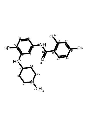 CN1CCC(Nc2cc(NC(=O)c3ccc(F)cc3Cl)ccc2F)CC1